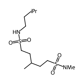 CNS(=O)(=O)CCC(C)CCS(=O)(=O)NCCC(C)C